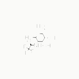 O=C(N[C@H]1C(O)O[C@H](CO)[C@H](O)[C@@H]1O)C(F)(F)F